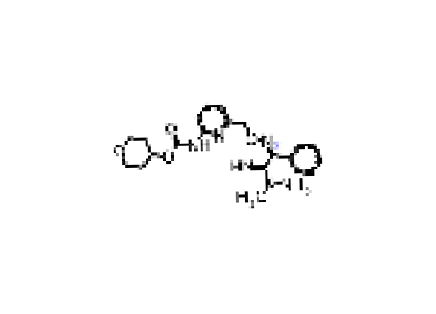 CN(N)C(=N)/C(=N\OCc1cccc(NC(=O)OC2CCOCC2)n1)c1ccccc1